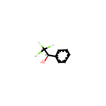 O[C@H](c1ccccc1)C(F)(F)F